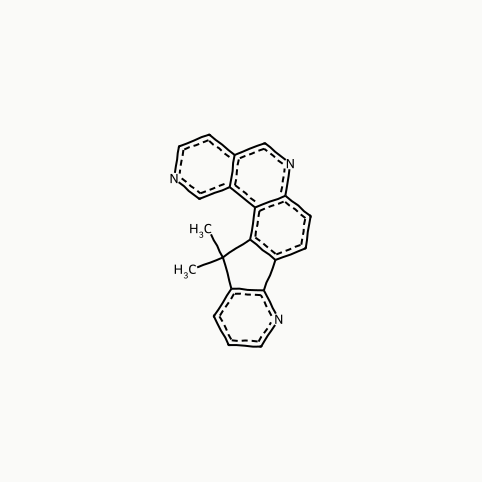 CC1(C)c2cccnc2-c2ccc3ncc4ccncc4c3c21